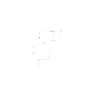 O=C1CCC2(CC1)C1CC3CC(C1)CC2C3